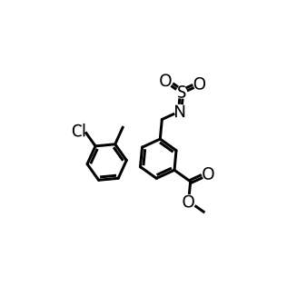 COC(=O)c1cccc(CN=S(=O)=O)c1.Cc1ccccc1Cl